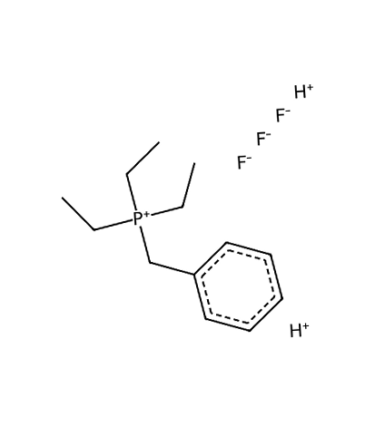 CC[P+](CC)(CC)Cc1ccccc1.[F-].[F-].[F-].[H+].[H+]